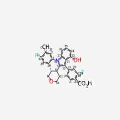 Cc1cc(-n2c(C3CCOCC3)c(-c3ccc(C(=O)O)c(F)c3)c3c(O)cccc32)ccc1F